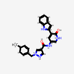 CC1C=CC(Cn2cc(C(=O)Nc3c[nH]c(=O)c(-c4cc5ccccc5[nH]4)c3)cn2)=CC1